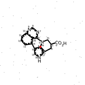 O=C(O)C1CCCN(c2ncnc3cccc(-c4cc[nH]c4)c23)C1